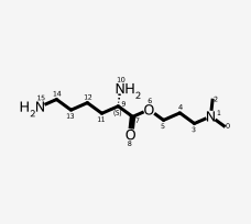 CN(C)CCCOC(=O)[C@@H](N)CCCCN